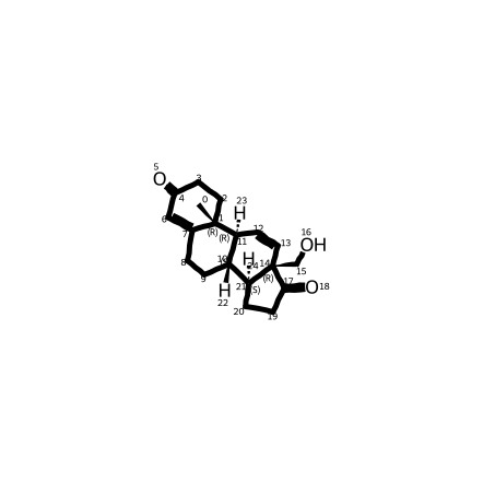 C[C@]12CCC(=O)C=C1CC[C@@H]1[C@@H]2C=C[C@]2(CO)C(=O)CC[C@@H]12